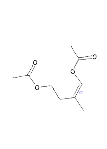 CC(=O)O/C=C(/C)CCOC(C)=O